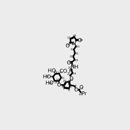 CC(C)C(=O)OCc1ccc(O[C@@H]2C[C@H](C(=O)O)[C@@H](O)[C@H](O)[C@H]2O)cc1OCCCNC(=O)CCCCCN1C(=O)C=CC1=O